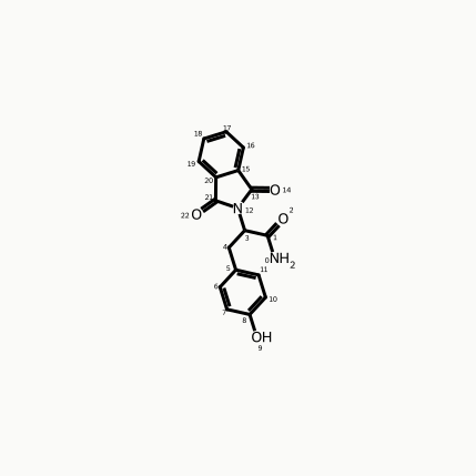 NC(=O)C(Cc1ccc(O)cc1)N1C(=O)c2ccccc2C1=O